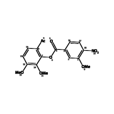 COc1cc(C(=O)Oc2c(C(C)=O)ccc(OC)c2OC)ccc1[N+](=O)[O-]